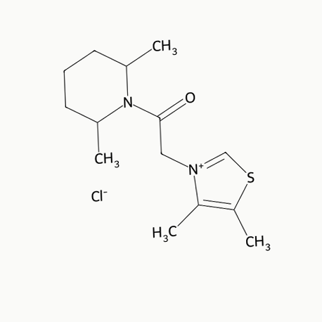 Cc1sc[n+](CC(=O)N2C(C)CCCC2C)c1C.[Cl-]